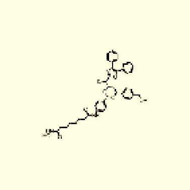 O=C(CCCCCCC(=O)Nc1ccc([C@@H]2O[C@H](c3ccc(CO)cc3)C[C@H](C(S)c3nc(-c4ccccc4)c(-c4ccccc4)o3)O2)cc1)NO